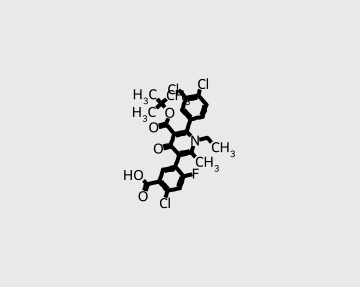 CCn1c(C)c(-c2cc(C(=O)O)c(Cl)cc2F)c(=O)c(C(=O)OC(C)(C)C)c1-c1ccc(Cl)c(Cl)c1